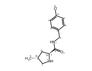 C[C@H]1CN[C@H](C(=O)NCc2ccc(Cl)cc2)C1